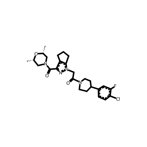 C[C@@H]1CN(C(=O)c2nn(CC(=O)N3CCC(c4ccc(Cl)c(F)c4)CC3)c3c2CCC3)C[C@H](C)O1